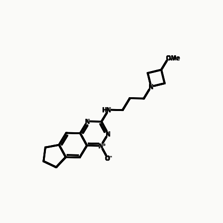 COC1CN(CCCNc2nc3cc4c(cc3[n+]([O-])n2)CCC4)C1